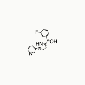 O[C@@H](c1cccc(F)c1)[C@H]1CC[C@@H](c2cccnc2)N1